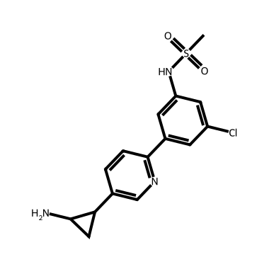 CS(=O)(=O)Nc1cc(Cl)cc(-c2ccc(C3CC3N)cn2)c1